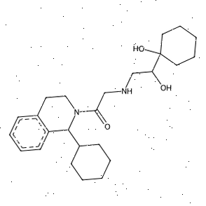 O=C(CNCC(O)C1(O)CCCCC1)N1CCc2ccccc2C1C1CCCCC1